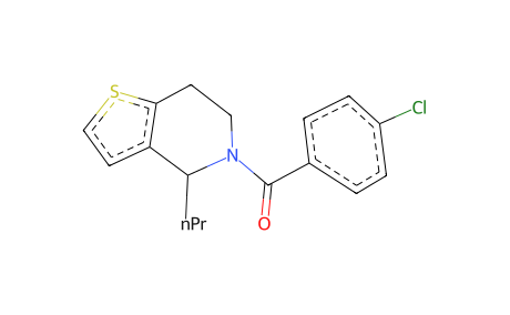 CCCC1c2ccsc2CCN1C(=O)c1ccc(Cl)cc1